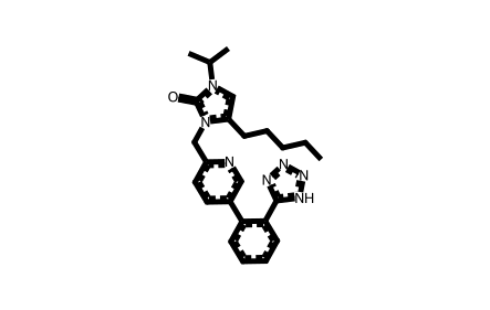 CCCCCc1cn(C(C)C)c(=O)n1Cc1ccc(-c2ccccc2-c2nnn[nH]2)cn1